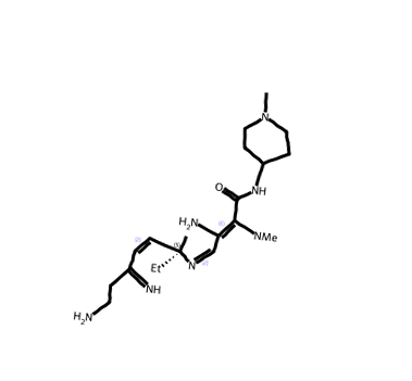 CC[C@@](C)(/C=C\C(=N)CCN)/N=C\C(N)=C(/NC)C(=O)NC1CCN(C)CC1